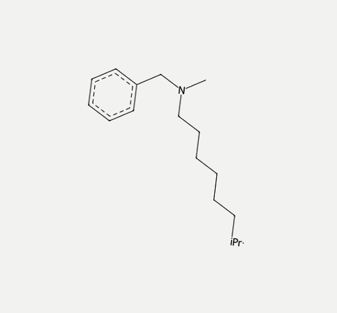 C[C](C)CCCCCCN(C)Cc1ccccc1